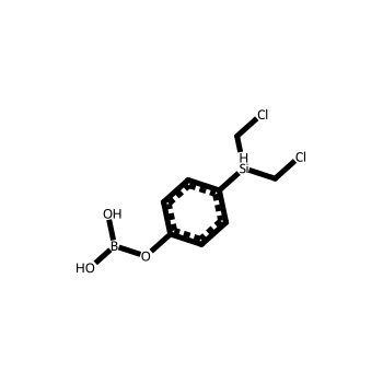 OB(O)Oc1ccc([SiH](CCl)CCl)cc1